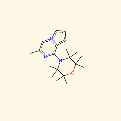 Cc1cn2cccc2c(N2C(C)(C)C(C)(C)OC(C)(C)C2(C)C)n1